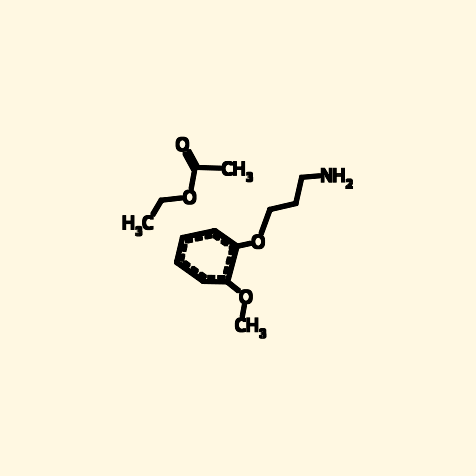 CCOC(C)=O.COc1ccccc1OCCCN